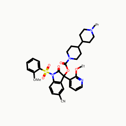 CCOc1ncccc1C1(OC(=O)N2CCC(C3CCN(C(C)C)CC3)CC2)C(=O)N(S(=O)(=O)c2ccccc2OC)c2ccc(C#N)cc21